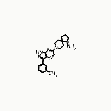 Cc1cccc(-c2n[nH]c3nc(N4CCC5(CCC[C@H]5N)CC4)cnc23)c1